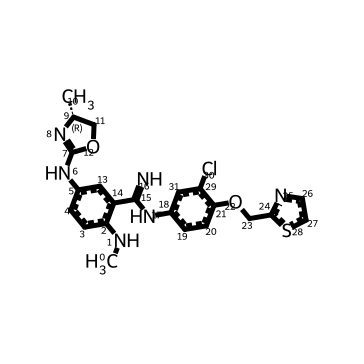 CNc1ccc(NC2=N[C@H](C)CO2)cc1C(=N)Nc1ccc(OCc2nccs2)c(Cl)c1